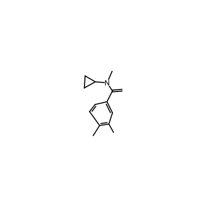 C=C(c1ccc(C)c(C)c1)N(C)C1CC1